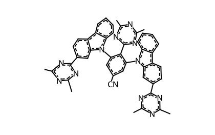 Cc1nc(C)nc(-c2ccc3c4ccccc4n(-c4cc(C#N)cc(-n5c6ccccc6c6ccc(-c7nc(C)nc(C)n7)cc65)c4-c4nc(C)nc(C)n4)c3c2)n1